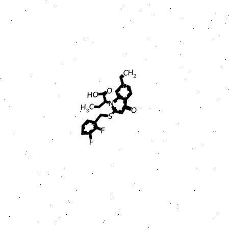 C=Cc1ccc2c(=O)cc(SCc3cccc(F)c3F)n(C(CC)C(=O)O)c2c1